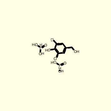 O=[PH](O)O.O=[PH](O)O.OCc1cc(Cl)c(O)c(Cl)c1